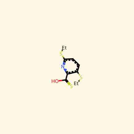 CCSc1ccc(SCC)c(C(O)=S)n1